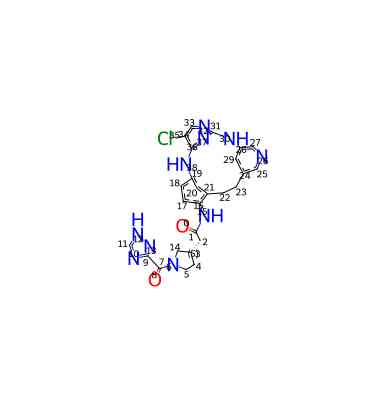 O=C(C[C@@H]1CCN(C(=O)c2nc[nH]n2)C1)Nc1ccc2cc1CCc1cncc(c1)Nc1ncc(Cl)c(n1)N2